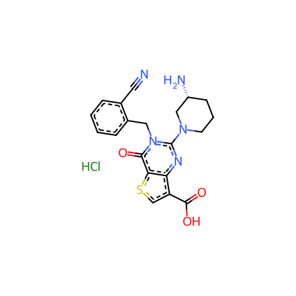 Cl.N#Cc1ccccc1Cn1c(N2CCC[C@@H](N)C2)nc2c(C(=O)O)csc2c1=O